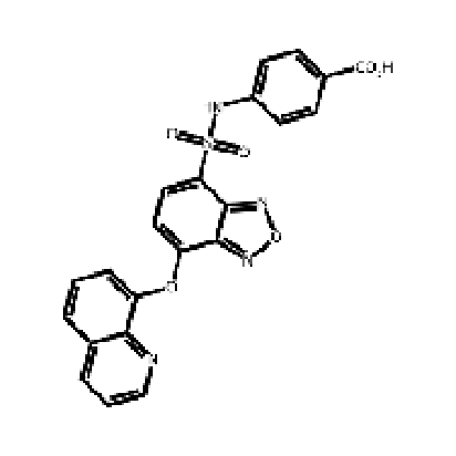 O=C(O)c1ccc(NS(=O)(=O)c2ccc(Oc3cccc4cccnc34)c3nonc23)cc1